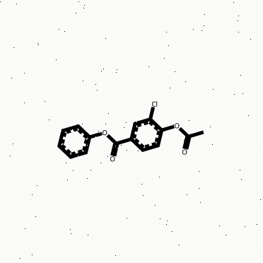 CC(=O)Oc1ccc(C(=O)Oc2ccccc2)cc1Cl